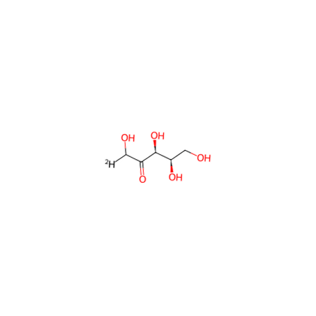 [2H]C(O)C(=O)[C@@H](O)[C@H](O)CO